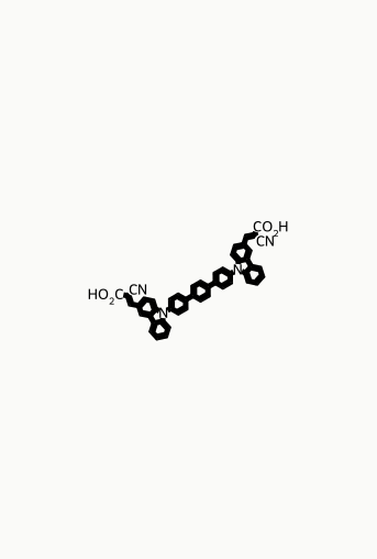 N#C/C(=C\c1ccc2c(c1)c1ccccc1n2-c1ccc(-c2ccc(-c3ccc(-n4c5ccccc5c5cc(/C=C(\C#N)C(=O)O)ccc54)cc3)cc2)cc1)C(=O)O